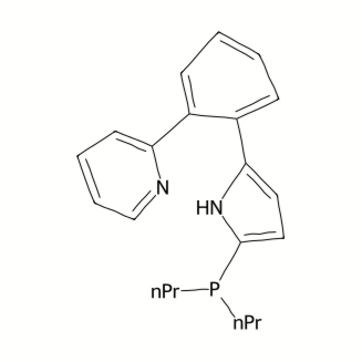 CCCP(CCC)c1ccc(-c2ccccc2-c2ccccn2)[nH]1